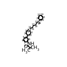 CC(C)C(=O)Nc1cccc(C2CCN(CCCCCSc3ccccc3)CC2)c1